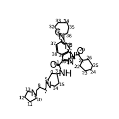 O=C(NC1CCN(CCN2CCCC2)CC1)c1nn(C(=O)C2CCCCC2)c2nc(N3CCCCCC3)ccc12